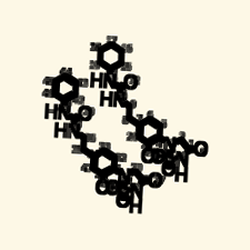 O=C1CN(c2ccc(CCNC(=O)NC3CCCCC3)cc2O)S(=O)(=O)N1.O=C1CN(c2ccc(CCNC(=O)Nc3ccccc3)cc2O)S(=O)(=O)N1